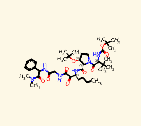 CCCC[C@H](NC(=O)[C@@H]1[C@@H](OC(C)(C)C)CCN1C(=O)[C@@H](NC(=O)OC(C)(C)C)C(C)(C)C)C(=O)C(=O)NCC(=O)NC(C(=O)N(C)C)c1ccccc1